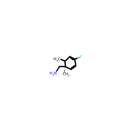 CC1C=C(F)C=C[C@@]1(C)CN